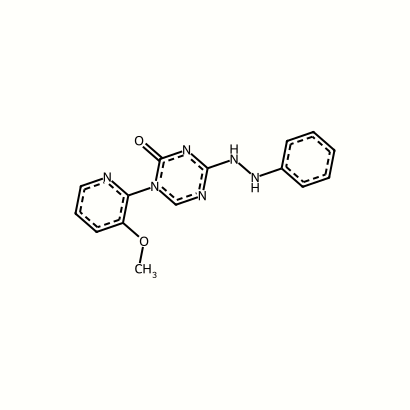 COc1cccnc1-n1cnc(NNc2ccccc2)nc1=O